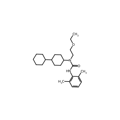 CCOCCN(C(=O)Nc1c(C)cccc1C)C1CCC(C2CCCCC2)CC1